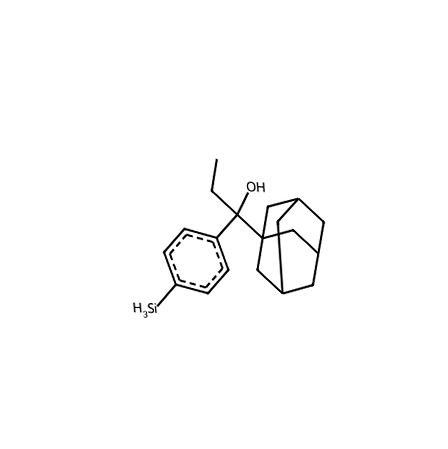 CCC(O)(c1ccc([SiH3])cc1)C12CC3CC(CC(C3)C1)C2